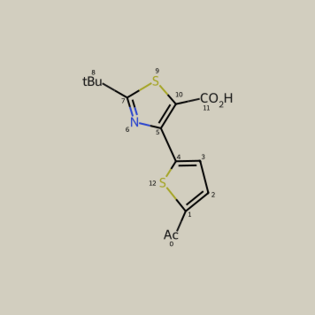 CC(=O)c1ccc(-c2nc(C(C)(C)C)sc2C(=O)O)s1